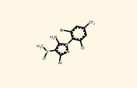 CC(=O)c1nn(-c2c(Cl)cc(C(F)(F)F)cc2Br)c(N)c1[S+](C)[O-]